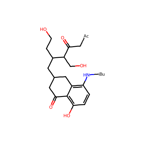 CCC(C)Nc1ccc(O)c2c1CC(CC(CCO)C(CO)C(=O)CC(C)=O)CC2=O